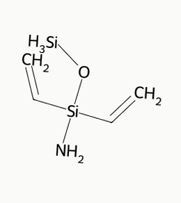 C=C[Si](N)(C=C)O[SiH3]